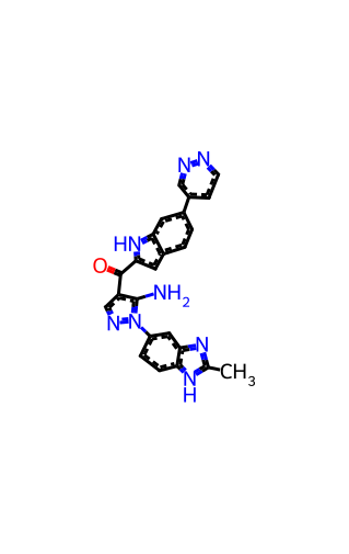 Cc1nc2cc(-n3ncc(C(=O)c4cc5ccc(-c6ccnnc6)cc5[nH]4)c3N)ccc2[nH]1